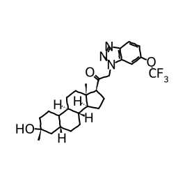 C[C@@]1(O)CCC2[C@H](CC[C@@H]3[C@@H]2CC[C@]2(C)[C@@H](C(=O)Cn4nnc5ccc(OC(F)(F)F)cc54)CC[C@@H]32)C1